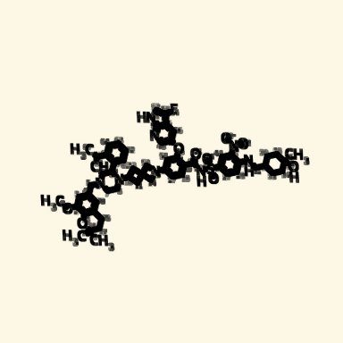 COc1cc(CN2CCN(C3CC4(C3)CN(c3ccc(C(=O)NS(=O)(=O)c5ccc(NCC6CCC(C)(O)CC6)c([N+](=O)[O-])c5)c(Oc5cnc6[nH]cc(F)c6c5)c3)C4)C(c3ccccc3C(C)C)C2)cc2c1OC(C)(C)CC2